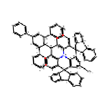 Cc1cc2c3c(c1)C1(c4ccccc4-c4ccccc41)c1cc(C)cc4c1N3c1c(cc(C)cc1C41c3ccccc3-c3ccccc31)B2c1c(-c2ccccc2)cc(-c2ccccc2)cc1-c1ccccc1